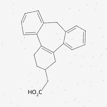 O=C(O)CC1CCC2=C(C1)c1ccccc1Cc1ccccc12